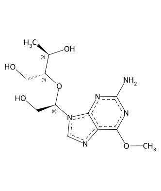 COc1nc(N)nc2c1ncn2[C@@H](CO)O[C@H](CO)[C@@H](C)O